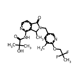 Cc1cc(CN2C(=O)c3ccnc(NC(=O)C(C)(C)O)c3C2C)cnc1OCC(C)(F)F